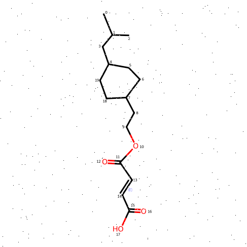 CC(C)CC1CCC(CCOC(=O)/C=C/C(=O)O)CC1